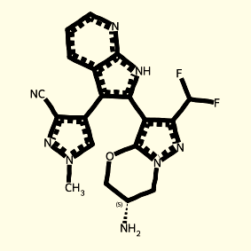 Cn1cc(-c2c(-c3c(C(F)F)nn4c3OC[C@@H](N)C4)[nH]c3ncccc23)c(C#N)n1